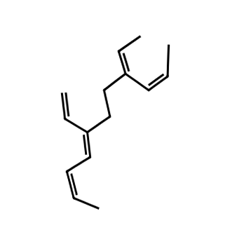 C=C/C(=C\C=C/C)CCC(/C=C\C)=C/C